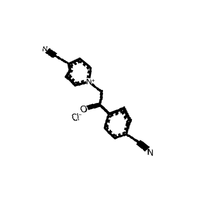 N#Cc1ccc(C(=O)C[n+]2ccc(C#N)cc2)cc1.[Cl-]